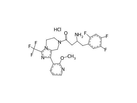 COc1ncccc1-c1nc(C(F)(F)F)n2c1CN(C(=O)CC(N)Cc1cc(F)c(F)cc1F)CC2.Cl